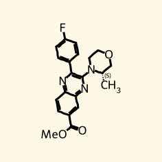 COC(=O)c1ccc2nc(-c3ccc(F)cc3)c(N3CCOC[C@@H]3C)nc2c1